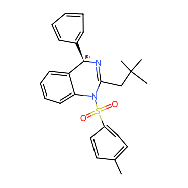 Cc1ccc(S(=O)(=O)N2C(CC(C)(C)C)=N[C@H](c3ccccc3)c3ccccc32)cc1